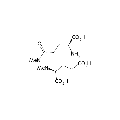 CNC(=O)CC[C@H](N)C(=O)O.CN[C@@H](CCC(=O)O)C(=O)O